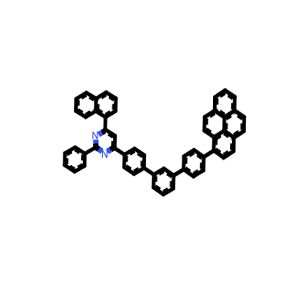 c1ccc(-c2nc(-c3ccc(-c4cccc(-c5ccc(-c6ccc7ccc8cccc9ccc6c7c89)cc5)c4)cc3)cc(-c3cccc4ccccc34)n2)cc1